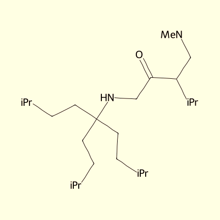 CNCC(C(=O)CNC(CCC(C)C)(CCC(C)C)CCC(C)C)C(C)C